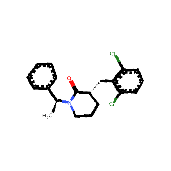 C[C@@H](c1ccccc1)N1CCC[C@@H](Cc2c(Cl)cccc2Cl)C1=O